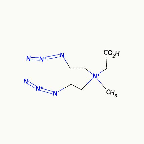 C[N+](CCN=[N+]=[N-])(CCN=[N+]=[N-])CC(=O)O